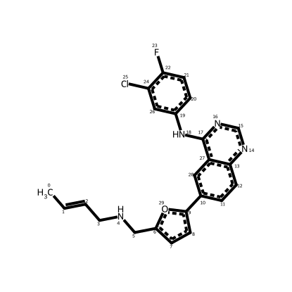 CC=CCNCc1ccc(-c2ccc3ncnc(Nc4ccc(F)c(Cl)c4)c3c2)o1